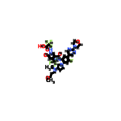 COCCCN(C)C1CCN(c2cc(F)c(-c3cnc(N4CCOCC4)nc3)cc2NC(=O)c2c[nH]c(=O)cc2C(F)(F)F)C1.O=C(O)C(F)(F)F